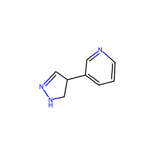 C1=NNCC1c1cccnc1